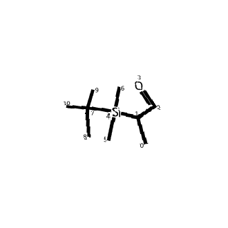 CC(C=O)[Si](C)(C)C(C)(C)C